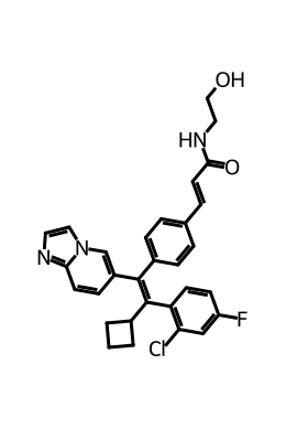 O=C(/C=C/c1ccc(/C(=C(\c2ccc(F)cc2Cl)C2CCC2)c2ccc3nccn3c2)cc1)NCCO